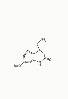 COc1ccc2c(c1)NC(=O)CC2CN